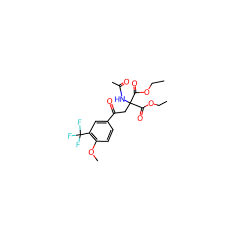 CCOC(=O)C(CC(=O)c1ccc(OC)c(C(F)(F)F)c1)(NC(C)=O)C(=O)OCC